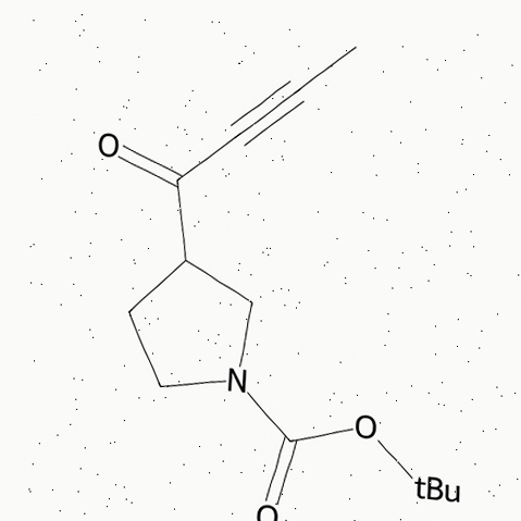 CC#CC(=O)C1CCN(C(=O)OC(C)(C)C)C1